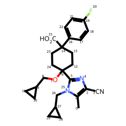 Cc1c(C#N)nc(C2(OCC3CC3)CCC(C(=O)O)(c3ccc(F)cc3)CC2)n1CC1CC1